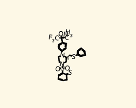 C[C@@](O)(c1ccc(N2CCN(S(=O)(=O)C3=CC=CCC3=S)C[C@@H]2CSc2ccccc2)cc1)C(F)(F)F